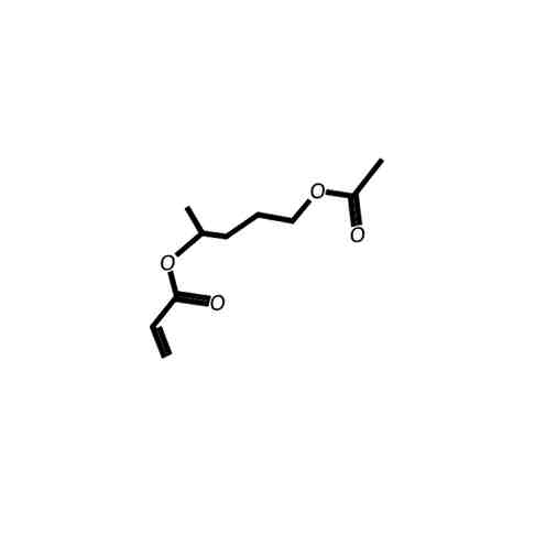 C=CC(=O)OC(C)CCCOC(C)=O